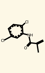 C=C(C)C(=O)Nc1cc(Cl)ccc1Cl